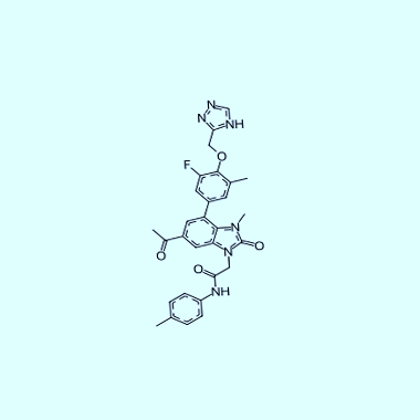 CC(=O)c1cc(-c2cc(C)c(OCc3nnc[nH]3)c(F)c2)c2c(c1)n(CC(=O)Nc1ccc(C)cc1)c(=O)n2C